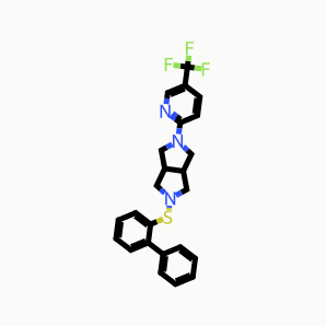 FC(F)(F)c1ccc(N2CC3CN(Sc4ccccc4-c4ccccc4)CC3C2)nc1